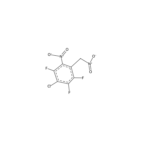 O=[N+]([O-])Cc1c(F)c(F)c(Cl)c(F)c1[N+](=O)[O-]